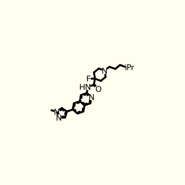 CC(C)CCCN1CCC(F)(C(=O)Nc2cc3cc(-c4cnn(C)c4)ccc3cn2)CC1